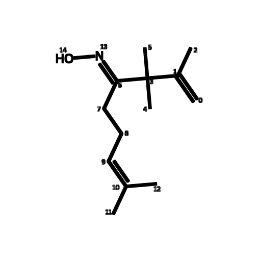 C=C(C)C(C)(C)/C(CCC=C(C)C)=N/O